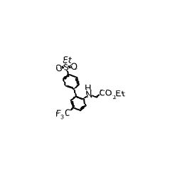 CCOC(=O)CNc1ccc(C(F)(F)F)cc1-c1ccc(S(=O)(=O)CC)cc1